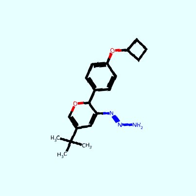 CC(C)(C)C1=COC(c2ccc(OC3CCC3)cc2)C(N=NN)=C1